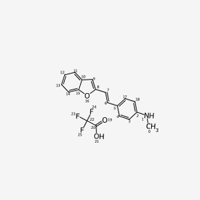 CNc1ccc(C=Cc2cc3ccccc3o2)cc1.O=C(O)C(F)(F)F